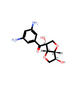 Nc1cc(N)cc(C(=O)[C@@]2(O)CO[C@@H]3[C@@H](O)CO[C@@H]32)c1